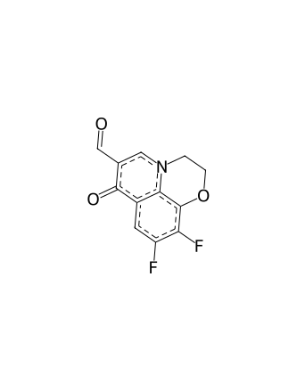 O=Cc1cn2c3c(c(F)c(F)cc3c1=O)OCC2